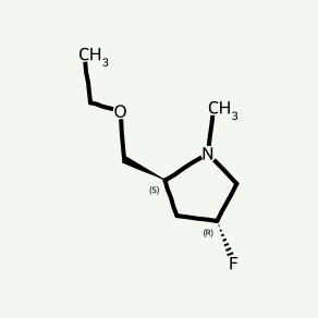 CCOC[C@@H]1C[C@@H](F)CN1C